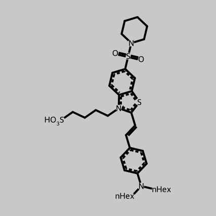 CCCCCCN(CCCCCC)c1ccc(C=Cc2sc3cc(S(=O)(=O)N4CCCCC4)ccc3[n+]2CCCCS(=O)(=O)O)cc1